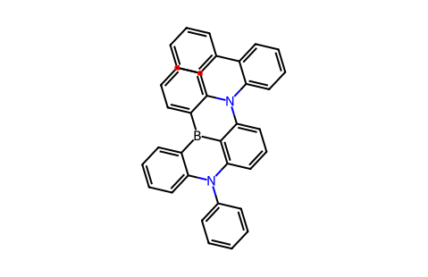 c1ccc(-c2ccccc2N2c3ccccc3B3c4ccccc4N(c4ccccc4)c4cccc2c43)cc1